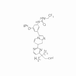 CC(C)Oc1cc(NC(=O)NCC(F)(F)F)cc(-c2cnc3n2C=CC(c2nccc(C(C)(C)CO)n2)C3)c1